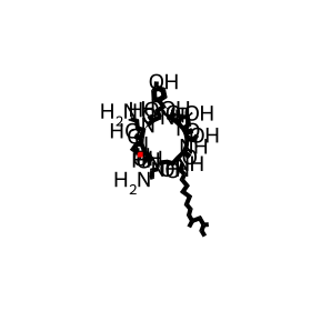 CCC(C)CC(C)CCCCCCCCC(=O)N[C@H]1C[C@@H](O)[C@H](NCCN)NC(=O)[C@@H]2[C@@H](O)CCN2C(=O)[C@H]([C@H](O)CCN)NC(=O)C([C@H](O)[C@@H](O)c2ccc(O)cc2)NC(=O)[C@@H]2C[C@@H](O)CN2C(=O)C([C@@H](C)O)NC1=O